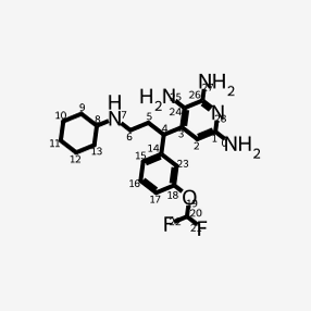 Nc1cc(C(CCNC2CCCCC2)c2cccc(OC(F)F)c2)c(N)c(N)n1